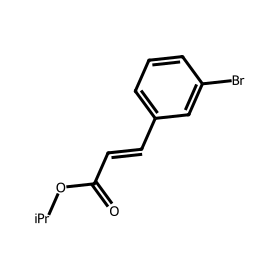 CC(C)OC(=O)/C=C/c1cccc(Br)c1